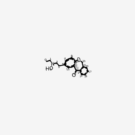 CCN(O)CCc1ccc2c(c1)C(=O)c1ccccc1CO2